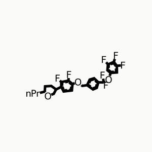 CCCC1CCC(c2ccc(OCc3ccc(C(F)(F)Oc4cc(F)c(F)c(F)c4)cc3)c(F)c2F)CO1